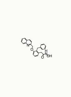 O=C(Cc1cccc(OCc2ccc3ccccc3n2)c1Cc1ccccc1)NO